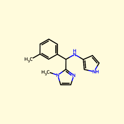 Cc1cccc(C(Nc2cc[nH]c2)c2nccn2C)c1